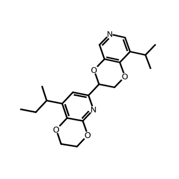 CCC(C)c1cc(C2COc3c(cncc3C(C)C)O2)nc2c1OCCO2